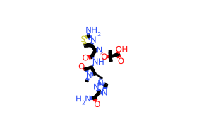 CN1C(=O)[C@@H](NC(=O)/C(=N\OC(C)(C)C(=O)O)c2csc(N)n2)[C@H]1Cn1cnc(C(N)=O)n1